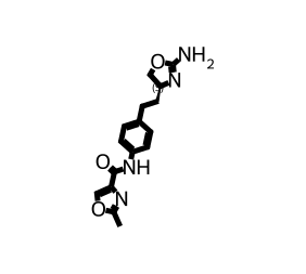 Cc1nc(C(=O)Nc2ccc(CC[C@H]3COC(N)=N3)cc2)co1